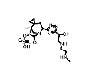 CNCCNC[C@H](O)c1nnc([C@@H]2CC3(CC3)[C@@H]3CN2C(=O)N3OS(=O)(=O)O)o1